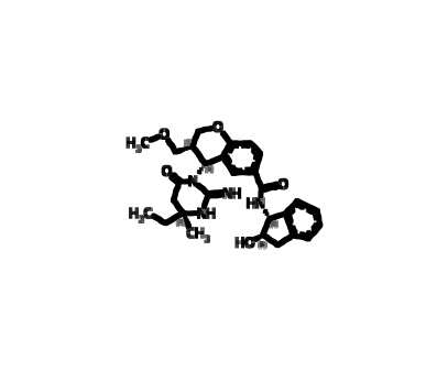 CC[C@]1(C)CC(=O)N([C@H]2c3cc(C(=O)N[C@@H]4c5ccccc5C[C@H]4O)ccc3OC[C@@H]2COC)C(=N)N1